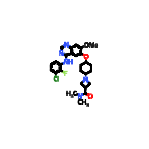 COc1cc2ncnc(Nc3cccc(Cl)c3F)c2cc1O[C@H]1CC[C@@H](N2CC(C(=O)N(C)C)C2)CC1